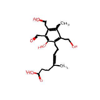 C/C(=C\Cc1c(O)c(C=O)c(CO)c(C)c1CO)CCC(=O)O